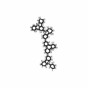 c1ccc(-n2c3ccccc3c3cc(-c4ccc5c6ccc(-c7ccc8c(c7)c7ccccc7n8-c7cc8c9ccccc9n9c%10ccccc%10c(c7)c89)cc6c6ccccc6c5c4)ccc32)cc1